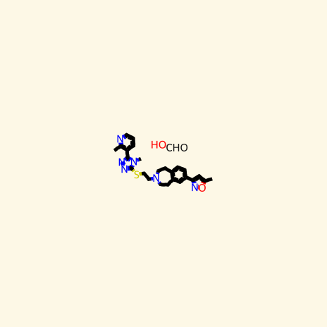 Cc1cc(-c2ccc3c(c2)CCN(CCSc2nnc(-c4cccnc4C)n2C)CC3)no1.O=CO